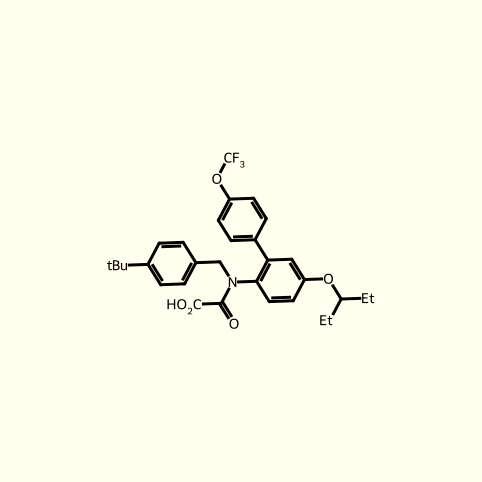 CCC(CC)Oc1ccc(N(Cc2ccc(C(C)(C)C)cc2)C(=O)C(=O)O)c(-c2ccc(OC(F)(F)F)cc2)c1